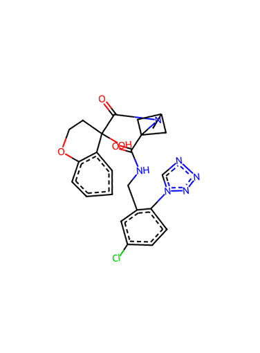 O=C(N1CC2CC1(C(=O)NCc1cc(Cl)ccc1-n1cnnn1)C2)C1(O)CCOc2ccccc21